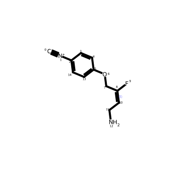 [C-]#[N+]c1ccc(OC/C(F)=C\CN)cc1